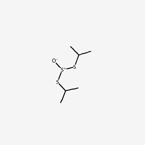 CC(C)S[S+]([O-])SC(C)C